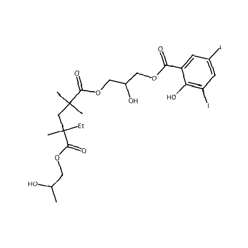 CCC(C)(CC(C)(C)C(=O)OCC(O)COC(=O)c1cc(I)cc(I)c1O)C(=O)OCC(C)O